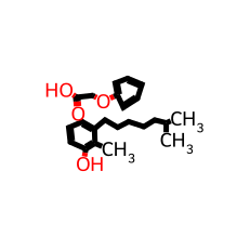 Cc1c(O)cccc1CCCCCC(C)C.O=C(O)COc1ccccc1